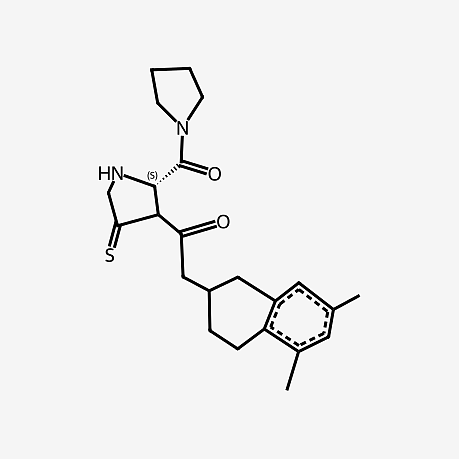 Cc1cc(C)c2c(c1)CC(CC(=O)C1C(=S)CN[C@@H]1C(=O)N1CCCC1)CC2